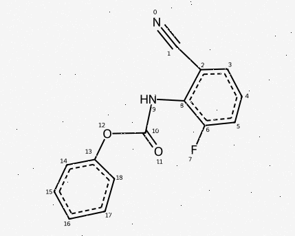 N#Cc1cccc(F)c1NC(=O)Oc1ccccc1